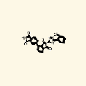 O=C1NC(=O)c2cc(-c3cccc4c3C(=O)N(c3nnc(-c5ccccc5Cl)o3)C4=O)ccc21